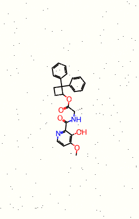 COc1ccnc(C(=O)N[C@@H](C)C(=O)OC2CCC2(c2ccccc2)c2ccccc2)c1O